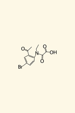 CCN(C(=O)C(=O)O)c1ccc(Br)cc1C(C)=O